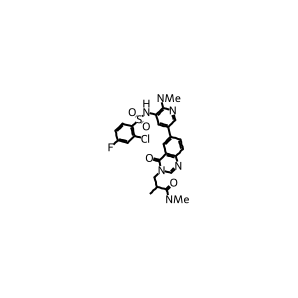 CNC(=O)C(C)Cn1cnc2ccc(-c3cnc(NC)c(NS(=O)(=O)c4ccc(F)cc4Cl)c3)cc2c1=O